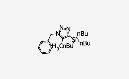 CCC[CH2][Sn]([CH2]CCC)([CH2]CCC)[c]1nnn(Cc2ccccc2)c1C